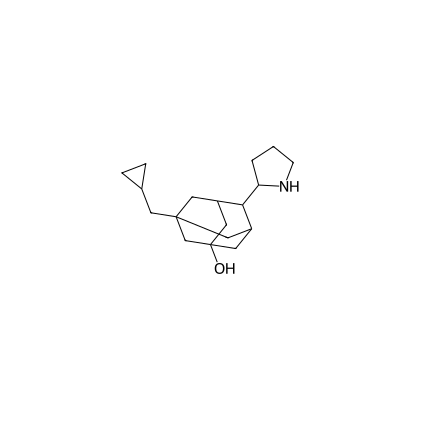 OC12CC3CC(CC4CC4)(CC(C1)C3C1CCCN1)C2